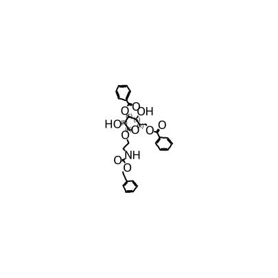 O=C(NCCO[C@@H]1O[C@H](COC(=O)c2ccccc2)[C@H](O)[C@H](OC(=O)c2ccccc2)[C@H]1O)OCc1ccccc1